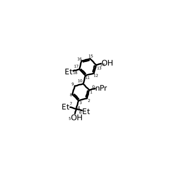 CCCC1=CC(C(O)(CC)CC)=CCC1c1cc(O)ccc1CC